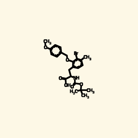 COc1ccc(COc2c(CC(NC(=O)OC(C)(C)C)C(=O)O)ccc(C)c2Br)cc1